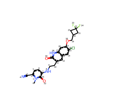 Cn1c(C#N)ccc(NCCc2cc3cc(Cl)c(OCC4CC(F)(F)C4)cc3[nH]c2=O)c1=O